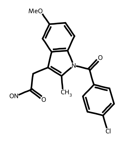 COc1ccc2c(c1)c(CC(=O)N=O)c(C)n2C(=O)c1ccc(Cl)cc1